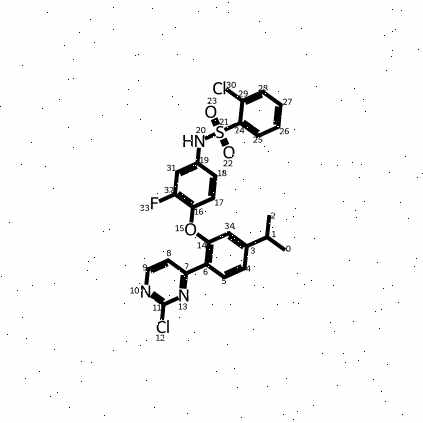 CC(C)c1ccc(-c2ccnc(Cl)n2)c(Oc2ccc(NS(=O)(=O)c3ccccc3Cl)cc2F)c1